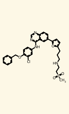 CS(=O)(=O)CCNCCCc1ccc(-c2ccc3ncnc(Nc4ccc(OCc5ccccc5)c(Cl)c4)c3c2)o1